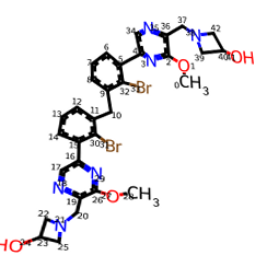 COc1nc(-c2cccc(Cc3cccc(-c4cnc(CN5CC(O)C5)c(OC)n4)c3Br)c2Br)cnc1CN1CC(O)C1